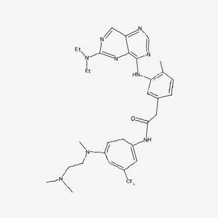 CCN(CC)c1ncc2ncnc(Nc3cc(CC(=O)NC4=CC(C(F)(F)F)=CC(N(C)CCN(C)C)=CC4)ccc3C)c2n1